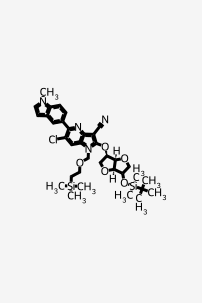 Cn1ccc2cc(-c3nc4c(C#N)c(O[C@@H]5CO[C@@H]6C(O[Si](C)(C)C(C)(C)C)CO[C@@H]65)n(COCC[Si](C)(C)C)c4cc3Cl)ccc21